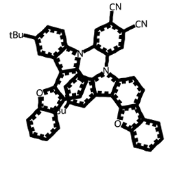 CC(C)(C)c1ccc2c(c1)c1c3oc4ccccc4c3ccc1n2-c1cc(C#N)c(C#N)cc1-n1c2ccc(C(C)(C)C)cc2c2c3oc4ccccc4c3ccc21